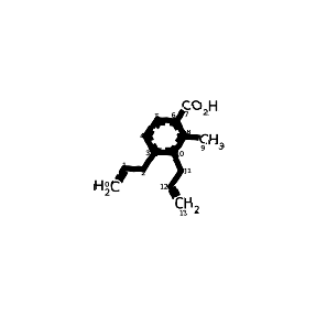 C=CCc1ccc(C(=O)O)c(C)c1CC=C